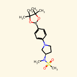 CN([C@@H]1CCN(c2ccc(B3OC(C)(C)C(C)(C)O3)cc2)C1)S(C)(=O)=O